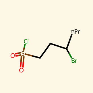 CCCC(Br)CCS(=O)(=O)Cl